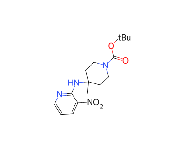 CC1(Nc2ncccc2[N+](=O)[O-])CCN(C(=O)OC(C)(C)C)CC1